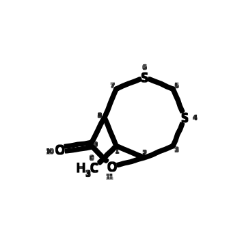 CC1C2CSCSCC1C(=O)O2